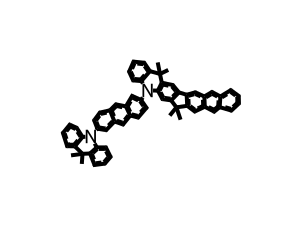 CC1(C)c2cc3c(cc2-c2cc4cc5ccccc5cc4cc21)C(C)(C)c1ccccc1N3c1ccc2cc3cc(N4c5ccccc5C(C)(C)c5ccccc54)ccc3cc2c1